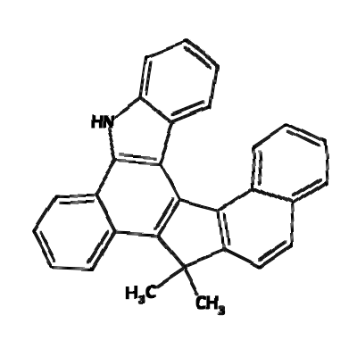 CC1(C)c2ccc3ccccc3c2-c2c1c1ccccc1c1[nH]c3ccccc3c21